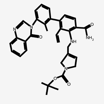 C=Cc1c(-c2cccc(-n3cnc4ccccc4c3=O)c2C)ccc(C(N)=O)c1NCC1=CCN(C(=O)OC(C)(C)C)C1